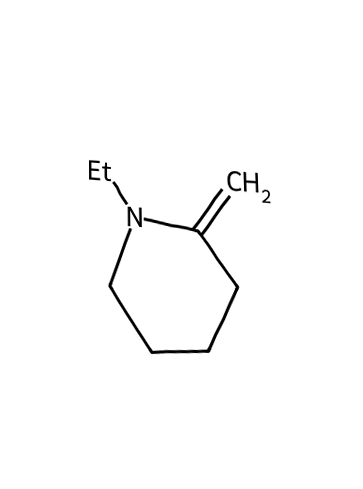 C=C1CCCCN1CC